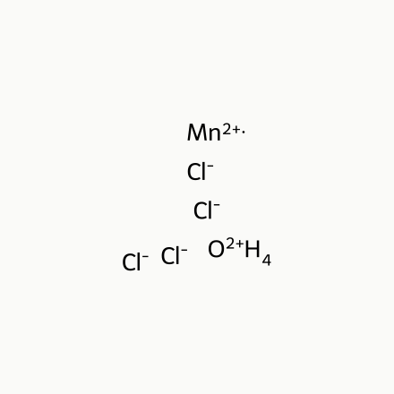 [Cl-].[Cl-].[Cl-].[Cl-].[Mn+2].[OH4+2]